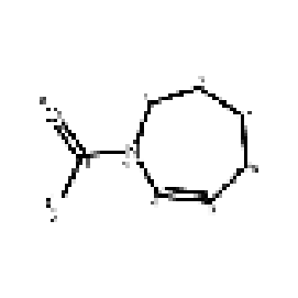 O=C(Cl)N1C=CCCCC1